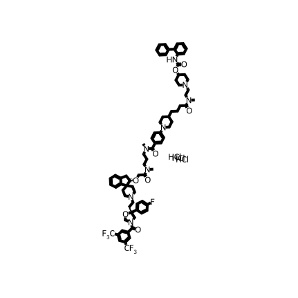 CN(CCN1CCC(OC(=O)Nc2ccccc2-c2ccccc2)CC1)C(=O)CCCC1CCN(c2ccc(C(=O)N(C)CCCN(C)C(=O)CO[C@H]3Cc4ccccc4C34CCN(CC[C@@]3(c5ccc(F)cc5)CN(C(=O)c5cc(C(F)(F)F)cc(C(F)(F)F)c5)CO3)CC4)cc2)CC1.Cl.Cl.Cl